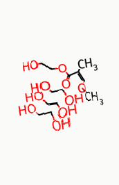 COC=C(C)C(=O)OCCO.OCCO.OCCO.OCCO